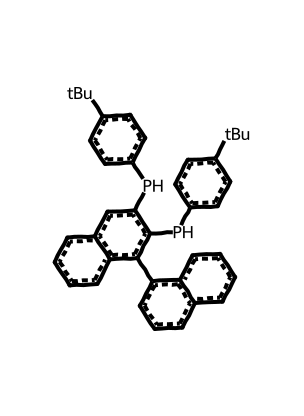 CC(C)(C)c1ccc(Pc2cc3ccccc3c(-c3cccc4ccccc34)c2Pc2ccc(C(C)(C)C)cc2)cc1